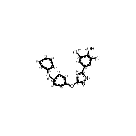 Oc1c(Cl)cc(-c2nnc(Oc3ccc(Oc4ccccc4)cc3)s2)cc1Cl